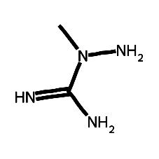 CN(N)C(=N)N